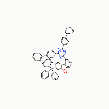 c1ccc(-c2ccc(-c3nc(-c4ccc(-c5ccccc5)cc4)nc(-c4cccc5oc6cc7c(cc6c45)-c4ccccc4C7(c4ccccc4)c4ccccc4)n3)cc2)cc1